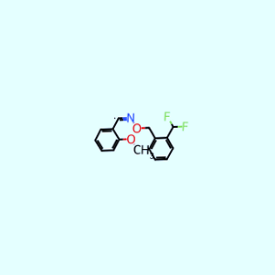 COc1ccccc1/[C]=N\OCc1ccccc1C(F)F